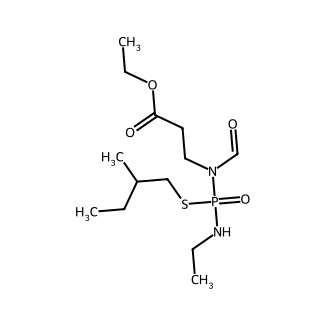 CCNP(=O)(SCC(C)CC)N(C=O)CCC(=O)OCC